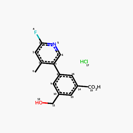 Cc1cc(F)ncc1-c1cc(CO)cc(C(=O)O)c1.Cl